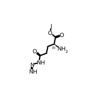 N=NNC(=O)CC[C@H](N)C(=O)OI